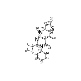 C=C1C2=C(N=C(C3CCC3)N(c3ccccc3)C2=C)N(C)c2cc(C)sc21